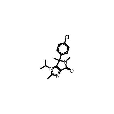 Cc1nc2c(n1C(C)C)C(C)(c1ccc(Cl)cc1)N(C)C2=O